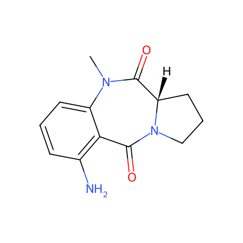 CN1C(=O)[C@@H]2CCCN2C(=O)c2c(N)cccc21